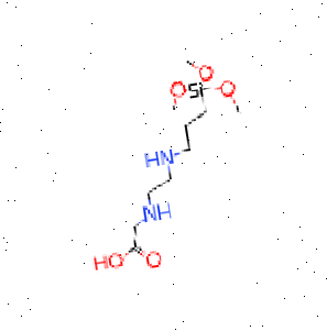 CO[Si](CCCNCCNCC(=O)O)(OC)OC